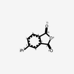 CC(C)c1ccc2c(c1)C(=O)OC2=O